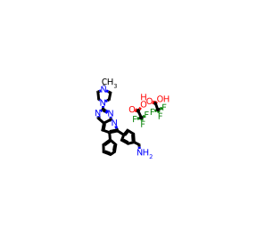 CN1CCN(c2ncc3cc(-c4ccccc4)c(-c4ccc(CN)cc4)nc3n2)CC1.O=C(O)C(F)(F)F.O=C(O)C(F)(F)F